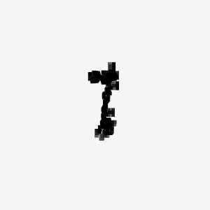 Fc1cc(CNCCCCOCCNc2cc(-c3ccncc3)nc3[nH]ncc23)cc(F)c1OC(F)(F)F